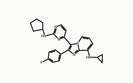 Fc1ccc(-c2nc3c(NC4CC4)cccn3c2-c2ccnc(NC3CCCC3)n2)cc1